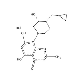 Cc1cc(=O)c2c(O)cc(O)c(N3CC[C@@H](CC4CC4)[C@@H](O)C3)c2o1.Cl